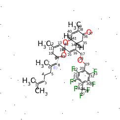 CC(C)=CCC/C(C)=C/[C@@H]1CC(C)=C[C@]2(C=C(COCc3c(F)c(F)c(C(F)(F)F)c(F)c3F)[C@H]3CC(=O)C(C)=C[C@H]3O2)O1